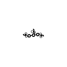 C=CC(=O)Oc1ccc(-c2ccc(-c3ccc(OC(=O)C=C)cc3)c(OC(=O)C=C)c2)cc1